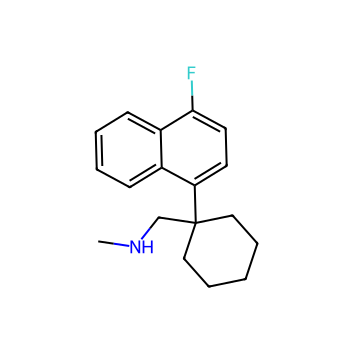 CNCC1(c2ccc(F)c3ccccc23)CCCCC1